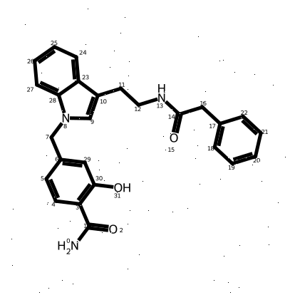 NC(=O)c1ccc(Cn2cc(CCNC(=O)Cc3ccccc3)c3ccccc32)cc1O